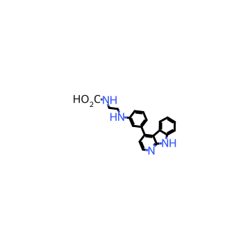 O=C(O)NCCNc1cccc(-c2ccnc3[nH]c4ccccc4c23)c1